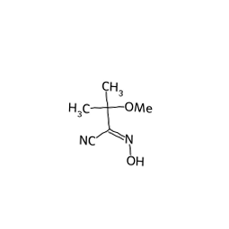 COC(C)(C)C(C#N)=NO